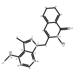 Cc1nn(Cc2cc3c(c(=O)n2C(C)C)=CCCC=3)c2ncnc(BI)c12